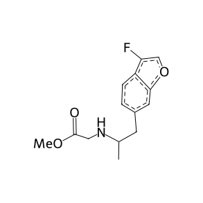 COC(=O)CNC(C)Cc1ccc2c(F)coc2c1